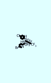 O=C(NC(Nc1ccc(Cl)cc1)C(F)(F)C(F)(F)C(F)(F)C(F)(F)F)c1ccc(Br)cn1